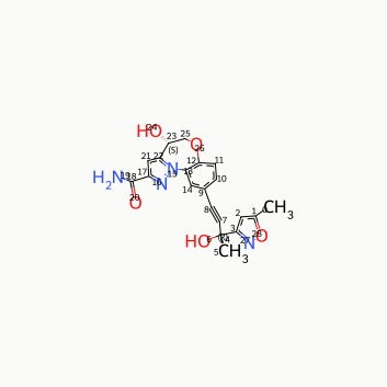 Cc1cc([C@](C)(O)C#Cc2ccc3c(c2)-n2nc(C(N)=O)cc2[C@H](O)CO3)no1